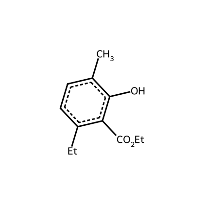 CCOC(=O)c1c(CC)ccc(C)c1O